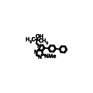 CNc1ncnc2c1c(-c1ccc(-c3ccccc3)cc1)cn2CC(C)(C)O